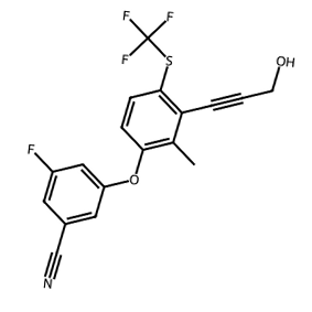 Cc1c(Oc2cc(F)cc(C#N)c2)ccc(SC(F)(F)F)c1C#CCO